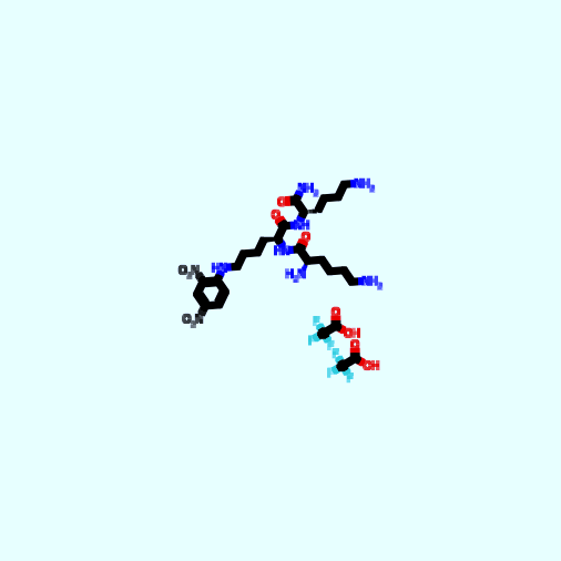 NCCCC[C@H](NC(=O)[C@H](CCCCNc1ccc([N+](=O)[O-])cc1[N+](=O)[O-])NC(=O)[C@@H](N)CCCCN)C(N)=O.O=C(O)C(F)(F)F.O=C(O)C(F)(F)F